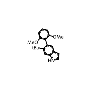 COc1cccc(OC)c1-c1cc2cc[nH]c2cc1C(C)(C)C